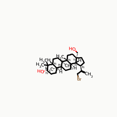 C=C(CBr)[C@@H]1CC[C@]2(CO)CC[C@]3(C)[C@H](CC[C@@H]4[C@@]5(C)CC[C@H](O)C(C)(C)[C@@H]5CC[C@]43C)[C@@H]12